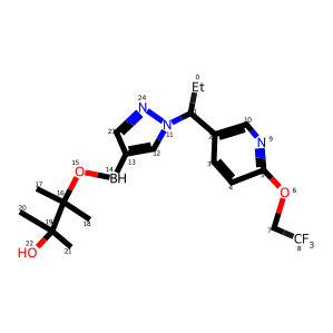 CCC(c1ccc(OCC(F)(F)F)nc1)n1cc(BOC(C)(C)C(C)(C)O)cn1